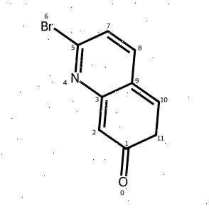 O=C1C=c2nc(Br)ccc2=CC1